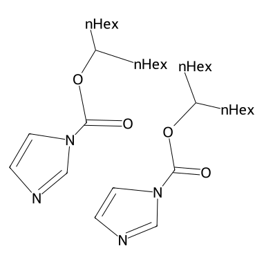 CCCCCCC(CCCCCC)OC(=O)n1ccnc1.CCCCCCC(CCCCCC)OC(=O)n1ccnc1